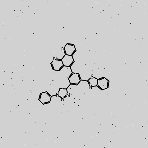 c1ccc(N2CC(c3cc(-c4nc5ccccc5s4)cc(-c4cc5cccnc5c5ncccc45)c3)N=N2)cc1